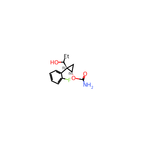 CCC(O)[C@@]1(c2ccccc2F)C[C@@H]1OC(N)=O